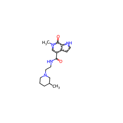 CC1CCCN(CCNC(=O)c2cn(C)c(=O)c3[nH]ccc23)C1